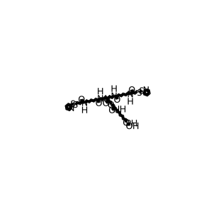 O=C(CCCCCNC(=O)CCSSc1ccccn1)NCCN(CCNC(=O)CCCCCNC(=O)CCSSc1ccccn1)C(=O)COCC(=O)NCCCCCCOPO